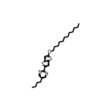 CCCCCCCCCCCCOc1cc2sc(-c3ncc(CCCC)cn3)cc2s1